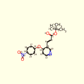 CC(C)(C)OC(=O)/C=C/c1cnccc1Oc1ccc([N+](=O)[O-])cc1